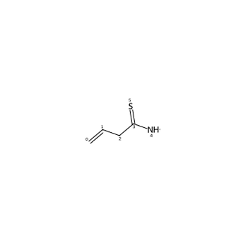 C=CCC([NH])=S